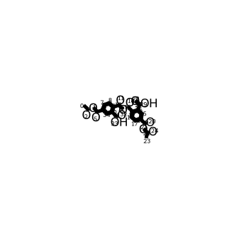 CC(=O)OC(=O)c1ccc(C(=O)OC(=O)c2ccc(C(=O)OC(C)=O)cc2C(=O)O)c(C(=O)O)c1